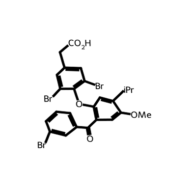 COc1cc(C(=O)c2cccc(Br)c2)c(Oc2c(Br)cc(CC(=O)O)cc2Br)cc1C(C)C